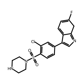 O=S(=O)(c1ccc(C2=CN=C3CC(F)=CC=C23)cc1Cl)N1CCNCC1